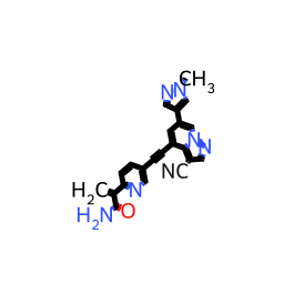 C=C(C(N)=O)c1ccc(C#Cc2cc(-c3cnn(C)c3)cn3ncc(C#N)c23)cn1